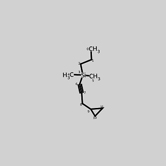 CCC[Si](C)(C)C#CCC1CC1